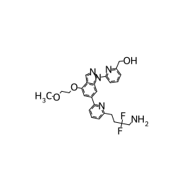 COCCOc1cc(-c2cccc(CCC(F)(F)CN)n2)cc2c1cnn2-c1cccc(CO)n1